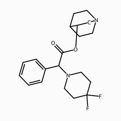 O=C(OC1CN2CCC1CC2)C(c1ccccc1)N1CCC(F)(F)CC1